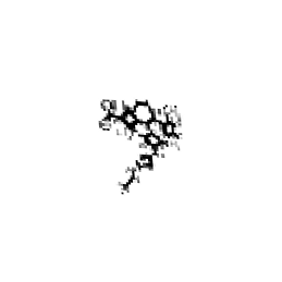 Cc1cc(C2=C(c3ccc(F)cc3C)CCCc3cc(C(=O)O)ccc32)c(C)cc1C=C1CN(CCCF)C1